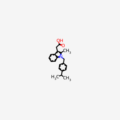 Cc1c(CC(=O)O)c2ccccc2n1Cc1ccc(C(C)C)cc1